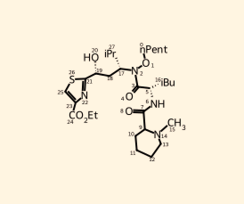 CCCCCON(C(=O)[C@@H](NC(=O)C1CCCCN1C)[C@@H](C)CC)[C@H](C[C@@H](O)c1nc(C(=O)OCC)cs1)C(C)C